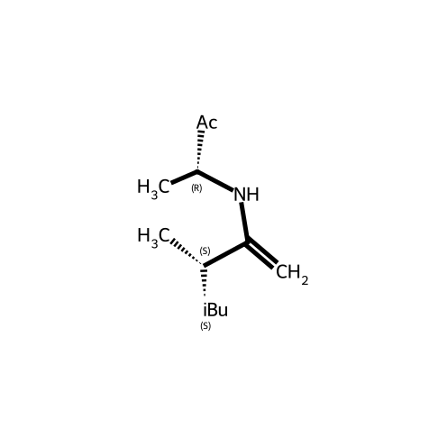 C=C(N[C@H](C)C(C)=O)[C@@H](C)[C@@H](C)CC